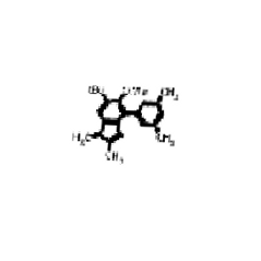 COc1c(C(C)(C)C)cc2c(c1-c1cc(C)cc(C)c1)C=C(C)C2C